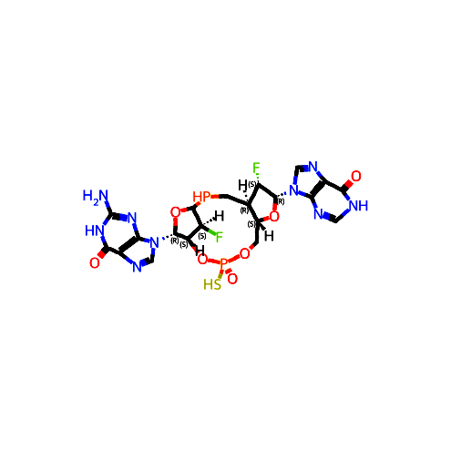 Nc1nc2c(ncn2[C@@H]2OC3PC[C@H]4[C@H](F)[C@H](n5cnc6c(=O)[nH]cnc65)O[C@@H]4COP(=O)(S)O[C@@H]2[C@@H]3F)c(=O)[nH]1